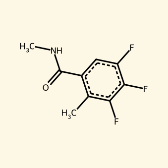 CNC(=O)c1cc(F)c(F)c(F)c1C